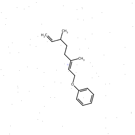 C=CC(C)CC/C(C)=C/COc1ccccc1